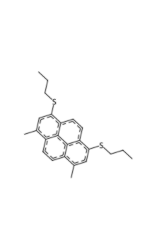 CCCSc1cc(C)c2ccc3c(C)cc(SCCC)c4ccc1c2c34